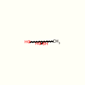 CCCCC/C=C/C/C=C/C/C=C/C/C=C/CCCCO.OCCO